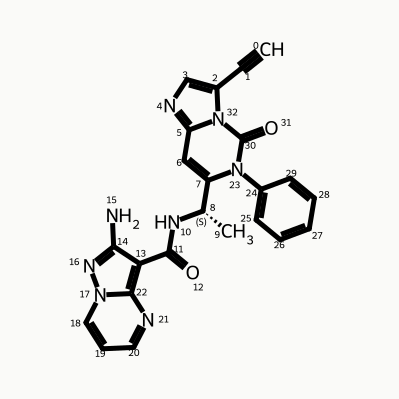 C#Cc1cnc2cc([C@H](C)NC(=O)c3c(N)nn4cccnc34)n(-c3ccccc3)c(=O)n12